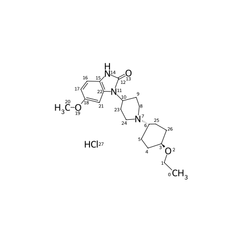 CCO[C@H]1CC[C@H](N2CCC(n3c(=O)[nH]c4ccc(OC)cc43)CC2)CC1.Cl